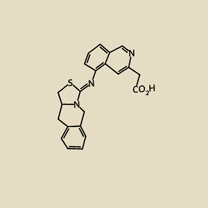 O=C(O)Cc1cc2c(N=C3SCC4Cc5ccccc5CN34)cccc2cn1